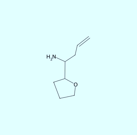 C=CCC(N)C1CCCO1